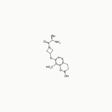 CC(C)(C)[C@@H](N)C(=O)N1CC(Oc2ccc3c(c2C(=O)O)OB(O)CC3)C1